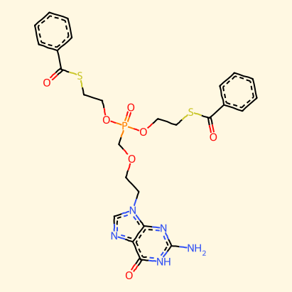 Nc1nc2c(ncn2CCOCP(=O)(OCCSC(=O)c2ccccc2)OCCSC(=O)c2ccccc2)c(=O)[nH]1